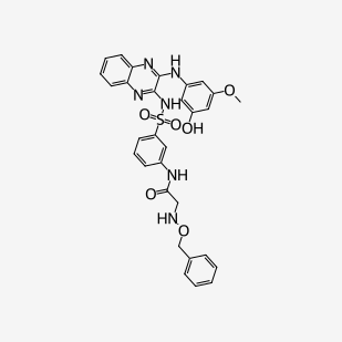 COc1cc(O)cc(Nc2nc3ccccc3nc2NS(=O)(=O)c2cccc(NC(=O)CNOCc3ccccc3)c2)c1